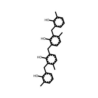 Cc1cccc(Cc2c(C)ccc(Cc3ccc(C)c(Cc4cccc(C)c4O)c3O)c2O)c1O